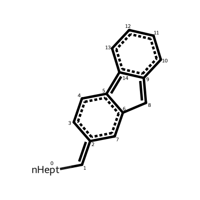 CCCCCCCC=c1ccc2c(c1)C=c1ccccc1=2